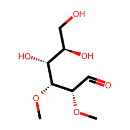 CO[C@H]([C@H](O)[C@H](O)CO)[C@H](C=O)OC